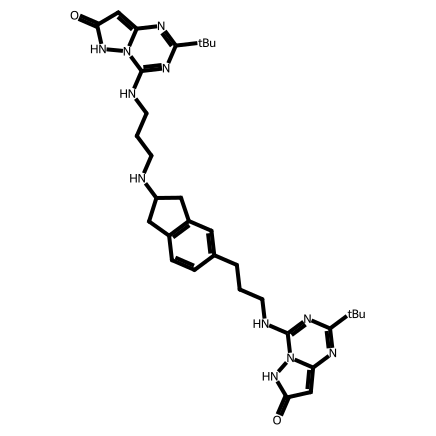 CC(C)(C)c1nc(NCCCNC2Cc3ccc(CCCNc4nc(C(C)(C)C)nc5cc(=O)[nH]n45)cc3C2)n2[nH]c(=O)cc2n1